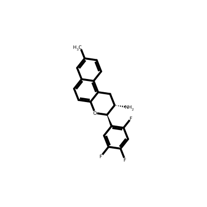 Cc1ccc2c3c(ccc2c1)O[C@H](c1cc(F)c(F)cc1F)[C@@H](N)C3